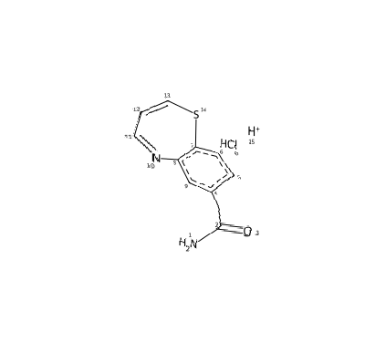 Cl.NC(=O)c1ccc2c(c1)N=CC=CS2.[H+]